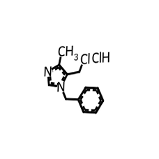 Cc1ncn(Cc2ccccc2)c1CCl.Cl